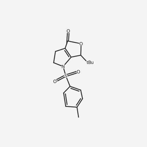 Cc1ccc(S(=O)(=O)N2CCC3=C2C(C(C)(C)C)OC3=O)cc1